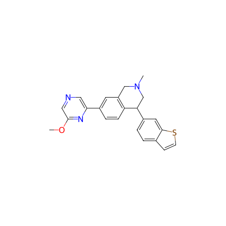 COc1cncc(-c2ccc3c(c2)CN(C)CC3c2ccc3ccsc3c2)n1